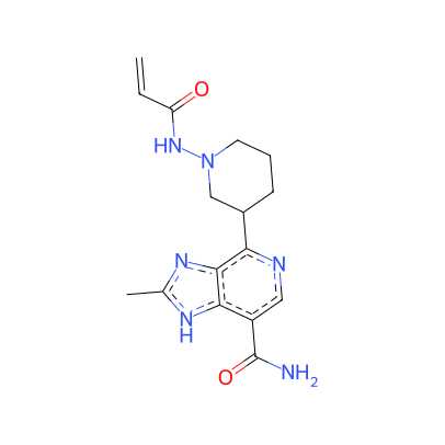 C=CC(=O)NN1CCCC(c2ncc(C(N)=O)c3[nH]c(C)nc23)C1